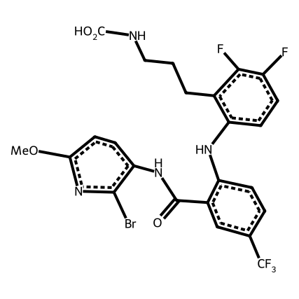 COc1ccc(NC(=O)c2cc(C(F)(F)F)ccc2Nc2ccc(F)c(F)c2CCCNC(=O)O)c(Br)n1